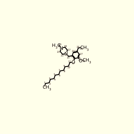 CCCCCCCCCCCCOc1c(CN2CCN(C)CC2)cc(CC)cc1OC